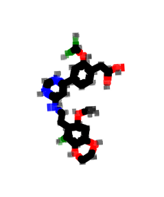 COc1cc2c(c(F)c1CCNc1cc(-c3ccc(CC(=O)O)c(OC(F)F)c3)ncn1)OCCO2